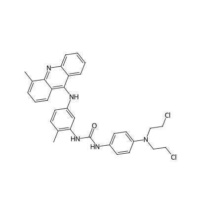 Cc1ccc(Nc2c3ccccc3nc3c(C)cccc23)cc1NC(=O)Nc1ccc(N(CCCl)CCCl)cc1